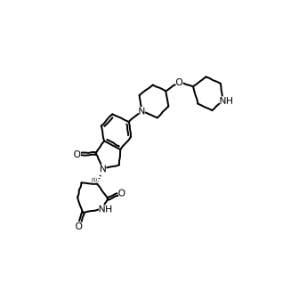 O=C1CC[C@H](N2Cc3cc(N4CCC(OC5CCNCC5)CC4)ccc3C2=O)C(=O)N1